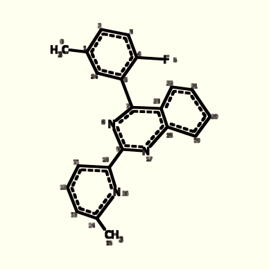 Cc1ccc(F)c(-c2nc(-c3cccc(C)n3)nc3ccccc23)c1